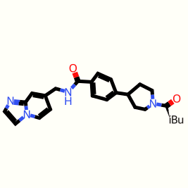 CC[C@H](C)C(=O)N1CCC(c2ccc(C(=O)NCc3ccn4ccnc4c3)cc2)CC1